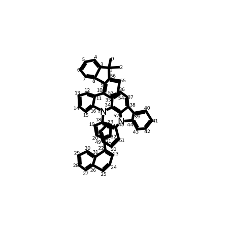 CC1(C)c2ccccc2-c2c(-c3ccccc3N(c3ccc(-c4cccc5ccccc45)cc3)c3cccc4c5ccccc5n(-c5ccccc5)c34)cccc21